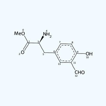 COC(=O)[C@@H](N)Cc1ccc(O)c(C=O)c1